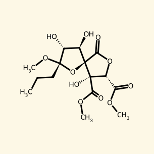 CCC[C@]1(OC)O[C@]2(C(=O)O[C@H](C(=O)OC)[C@@]2(O)C(=O)OC)[C@H](O)[C@H]1O